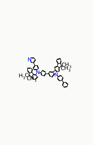 CC1(C)c2ccccc2-c2cc3c4cc(-c5ccc(N(c6ccc(-c7cccnc7)cc6)c6cccc7c6-c6ccccc6C7(C)C)cc5)ccc4n(-c4ccc(-c5ccccc5)cc4)c3cc21